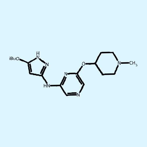 CC(C)COc1cc(Nc2cncc(OC3CCN(C)CC3)n2)n[nH]1